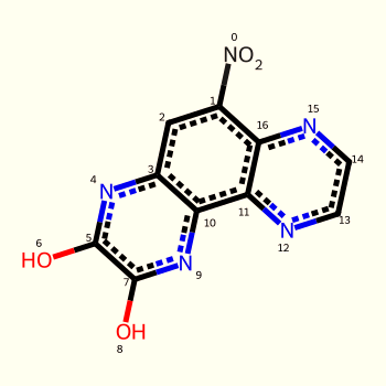 O=[N+]([O-])c1cc2nc(O)c(O)nc2c2nccnc12